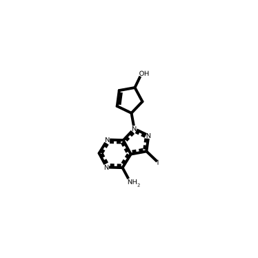 Nc1ncnc2c1c(I)nn2C1C=CC(O)C1